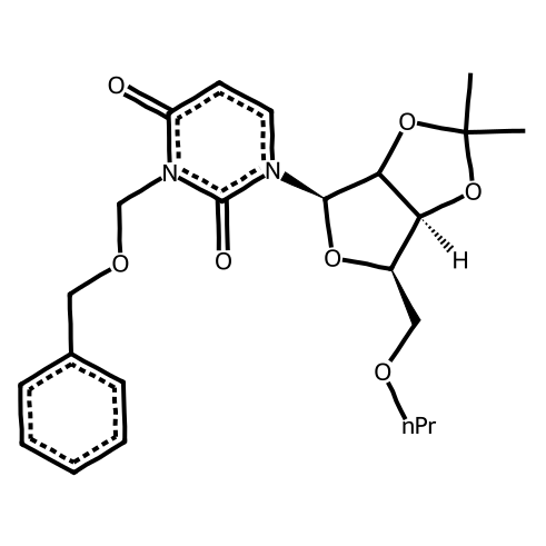 CCCOC[C@H]1O[C@@H](n2ccc(=O)n(COCc3ccccc3)c2=O)C2OC(C)(C)O[C@H]21